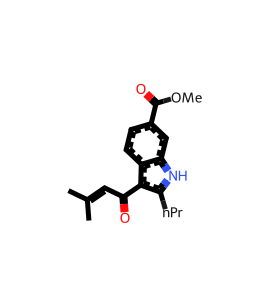 CCCc1[nH]c2cc(C(=O)OC)ccc2c1C(=O)C=C(C)C